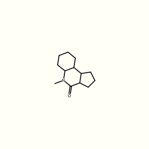 CN1C(=O)C2CCCC2C2CCCCC21